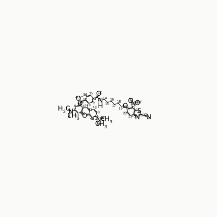 CN(C)c1ccc2c(-c3cc(C(=O)NCCCCCCOc4ccc5nc(C#N)sc5c4[N+](=O)[O-])ccc3C(=O)[O-])c3ccc(=[N+](C)C)cc-3oc2c1